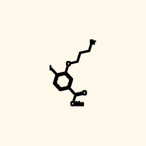 COC(=O)c1ccc(I)c(OCCCBr)c1